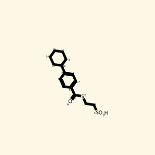 O=C(SCCS(=O)(=O)O)c1ccc(C2CCCCC2)cc1